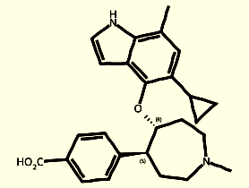 Cc1cc(C2CC2)c(O[C@@H]2CCN(C)CC[C@H]2c2ccc(C(=O)O)cc2)c2cc[nH]c12